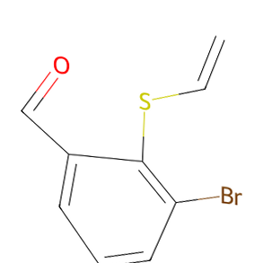 C=CSc1c(Br)cccc1C=O